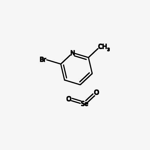 Cc1cccc(Br)n1.O=[Se]=O